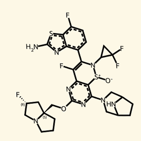 Nc1nc2c(C3=C(F)c4nc(OC[C@@]56CCCN5C[C@H](F)C6)nc(N5CC6CCC(C5)N6)c4[S+]([O-])N3C3CC3(F)F)ccc(F)c2s1